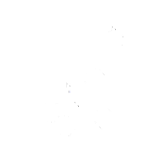 c1ccc(C(c2ccccc2)N2/C(=N\CCCCc3cccnc3)c3cccc4cccc2c34)cc1